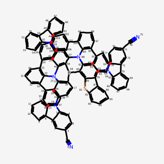 N#Cc1ccc2c(c1)c1ccccc1n2-c1ccc2c(c1)N(c1c(-c3ccccc3)cccc1-c1ccccc1)c1cc(-n3c4ccccc4c4ccccc43)cc3c1B2c1c(cc(-n2c4ccccc4c4cc(C#N)ccc42)c2c1sc1ccccc12)N3c1c(-c2ccccc2)cccc1-c1ccccc1